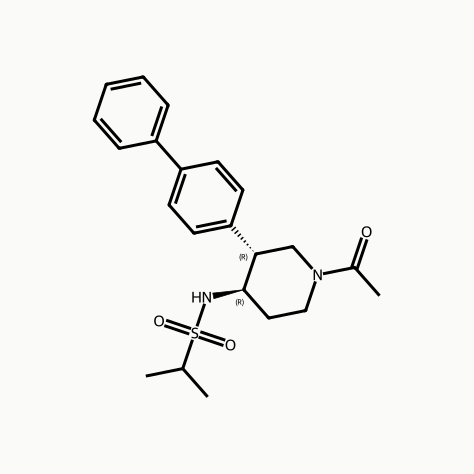 CC(=O)N1CC[C@@H](NS(=O)(=O)C(C)C)[C@H](c2ccc(-c3ccccc3)cc2)C1